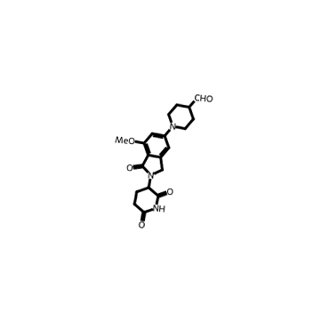 COc1cc(N2CCC(C=O)CC2)cc2c1C(=O)N(C1CCC(=O)NC1=O)C2